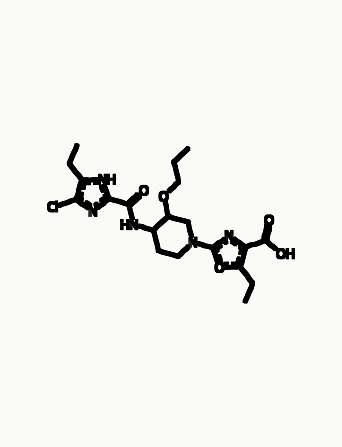 CCCOC1CN(c2nc(C(=O)O)c(CC)o2)CCC1NC(=O)c1nc(Cl)c(CC)[nH]1